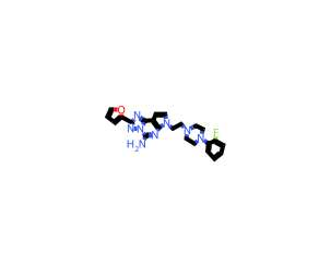 Nc1nc2c(ccn2CCN2CCN(c3ccccc3F)CC2)c2nc(-c3ccco3)nn12